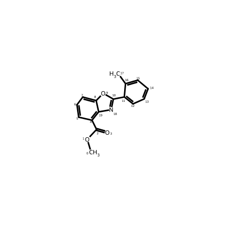 COC(=O)c1cccc2oc(-c3ccccc3C)nc12